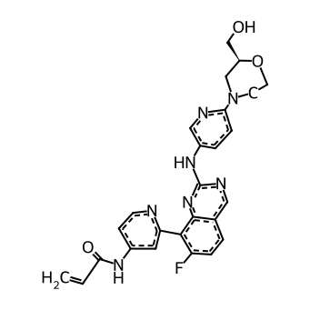 C=CC(=O)Nc1ccnc(-c2c(F)ccc3cnc(Nc4ccc(N5CCO[C@H](CO)C5)nc4)nc23)c1